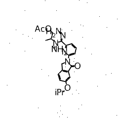 CC(=O)OCC(C)N(N)/C(=N\N)c1cccc(N2Cc3ccc(OC(C)C)cc3C2=O)n1